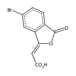 O=C(O)/C=C1\OC(=O)c2ccc(Br)cc21